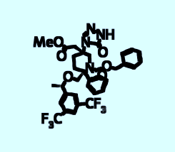 COC(=O)C[C@]1(n2cn[nH]c2=O)CC[C@@](CO[C@H](C)c2cc(C(F)(F)F)cc(C(F)(F)F)c2)(c2ccccc2)N(C(=O)OCc2ccccc2)C1